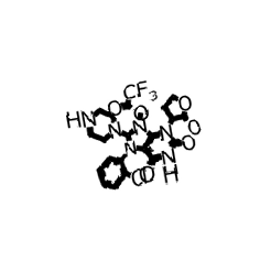 O=C1OCCC1n1c2c(c(=O)[nH]c1=O)N(c1ccccc1Cl)C(N1CCNCC1)N2OC(=O)C(F)(F)F